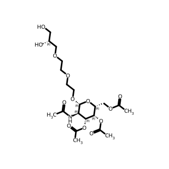 CC(=O)N[C@H]1[C@H](OCCOCCOC[C@H](O)CO)O[C@H](COC(C)=O)[C@H](OC(C)=O)[C@@H]1OC(C)=O